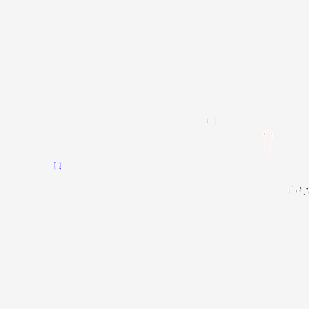 COC(=O)c1ccc(C/C=C/N(C)C)cc1Cl